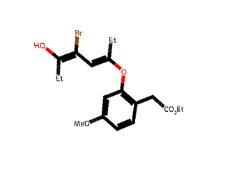 CCOC(=O)Cc1ccc(OC)cc1OC(=C/C(Br)=C(/O)CC)CC